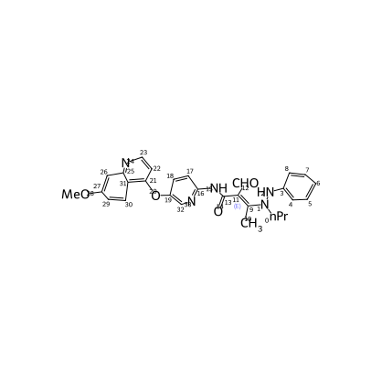 CCCN(Nc1ccccc1)/C(C)=C(\C=O)C(=O)Nc1ccc(Oc2ccnc3cc(OC)ccc23)cn1